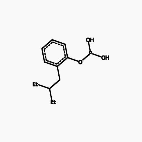 CCC(CC)Cc1ccccc1OP(O)O